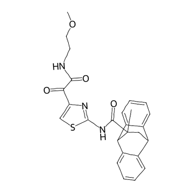 COCCNC(=O)C(=O)c1csc(NC(=O)C2(C)CC3c4ccccc4C2c2ccccc23)n1